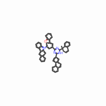 CC1(C2N=C(c3cc(-n4c5ccccc5c5cc6ccccc6cc54)c4oc5ccccc5c4c3)N=C(c3ccc4c(ccc5ccccc54)c3)N2)CC=Cc2ccccc21